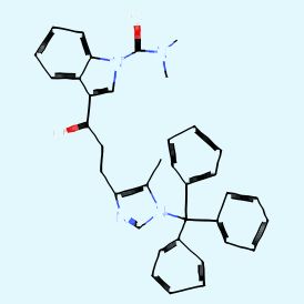 Cc1c(CCC(=O)c2cn(C(=O)N(C)C)c3ccccc23)ncn1C(c1ccccc1)(c1ccccc1)c1ccccc1